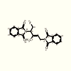 C/C(=C\CN1C(=O)c2ccccc2C1=O)C(CF)N1C(=O)c2ccccc2C1=O